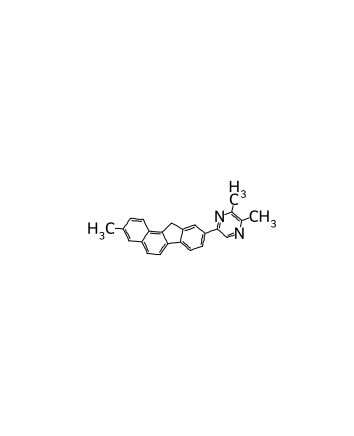 Cc1ccc2c3c(ccc2c1)-c1ccc(-c2cnc(C)c(C)n2)cc1C3